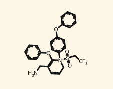 NCC1=C(Oc2ccccc2)[N+](c2ccc(Oc3ccccc3)cc2)(S(=O)(=O)CC(F)(F)F)CC=C1